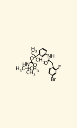 CC(C)(C)NC(=O)OC(C)(C)c1cccc(NC(=O)Cc2ccc(Br)cc2F)c1